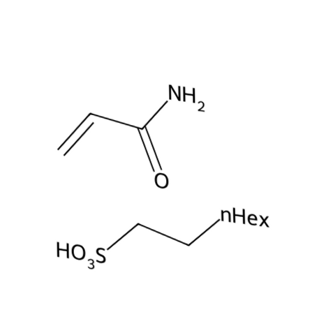 C=CC(N)=O.CCCCCCCCS(=O)(=O)O